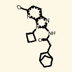 O=C(CC1CC2CCC1C2)Nc1nc2ccc(Cl)nc2n1C1CCC1